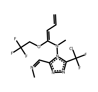 C=C/C=C(/OCC(F)(F)F)N(C)n1c(/C=N\C)nnc1C(F)(F)Cl